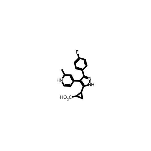 CC1C=C(c2c(-c3ccc(F)cc3)n[nH]c2C2CC2C(=O)O)C=CN1